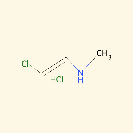 CNC=CCl.Cl